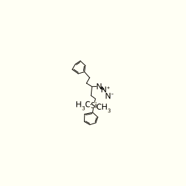 C[Si](C)(CCC(CCc1ccccc1)N=[N+]=[N-])c1ccccc1